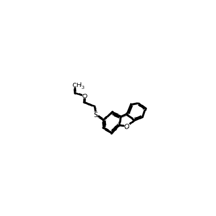 CCOCCSc1ccc2oc3ccccc3c2c1